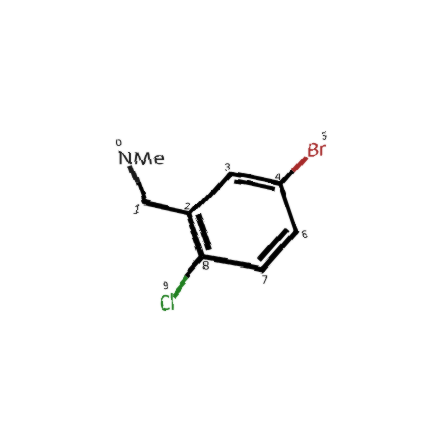 CNCc1cc(Br)ccc1Cl